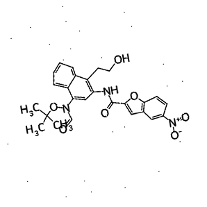 CC(C)(C)ON(C=O)c1cc(NC(=O)c2cc3cc([N+](=O)[O-])ccc3o2)c(CCO)c2ccccc12